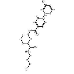 O=C(NC1CCCC(C(=O)NCCCO)C1)c1ccc(-c2cccc(F)c2)nc1